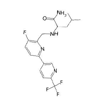 CC(C)C[C@H](NCc1nc(-c2ccc(C(F)(F)F)nc2)ccc1F)C(N)=O